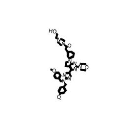 COc1ccc(CN(Cc2ccc(OC)cc2)c2ncc(-c3nc(N4CCOCC4)nc4c3CCN4c3cccc(CC(=O)N4CCN(CCO)CC4)c3)cn2)cc1